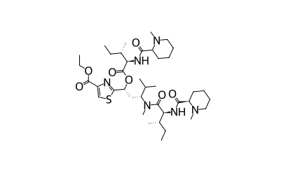 CCOC(=O)c1csc([C@@H](C[C@H](C(C)C)N(C)C(=O)[C@@H](NC(=O)[C@H]2CCCCN2C)[C@@H](C)CC)OC(=O)[C@H](NC(=O)C2CCCCN2C)[C@@H](C)CC)n1